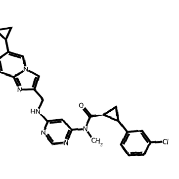 CN(C(=O)[C@H]1CC1c1cccc(Cl)c1)c1cc(NCc2cn3cc(C4CC4)ccc3n2)ncn1